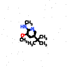 CNc1ncc(C(C)(C)C)cc1OC